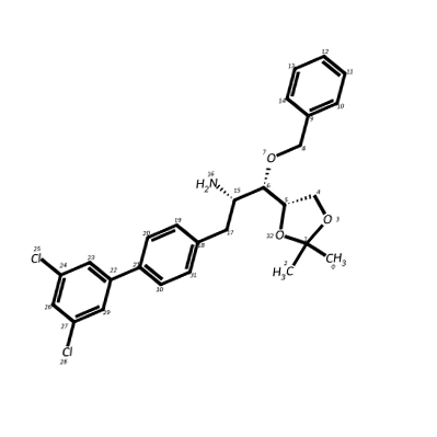 CC1(C)OC[C@@H]([C@@H](OCc2ccccc2)[C@@H](N)Cc2ccc(-c3cc(Cl)cc(Cl)c3)cc2)O1